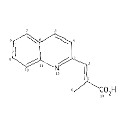 CC(=Cc1ccc2ccccc2n1)C(=O)O